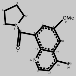 COc1cc(C(=O)N2CCCC2)c2nccc(C(C)C)c2c1